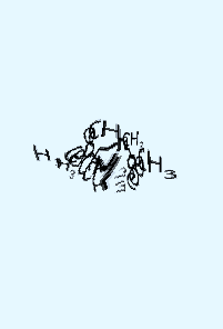 COc1cc(OC)cc(C(C#N)(CCCN(C)CCc2ccc(OC)c(OC)c2)C(C)C)c1